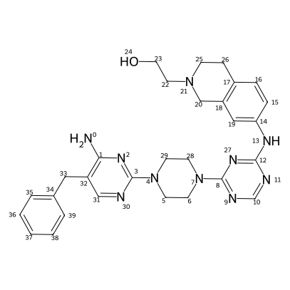 Nc1nc(N2CCN(c3ncnc(Nc4ccc5c(c4)CN(CCO)CC5)n3)CC2)ncc1Cc1ccccc1